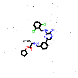 CC(C)C[C@H](NCc1cccc(-c2cnc(N)c(NCc3c(Cl)cccc3Cl)n2)c1)C(=O)OC1CCCC1